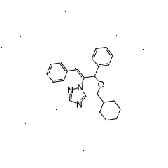 C(=C(C(OCC1CCCCC1)c1ccccc1)n1cncn1)c1ccccc1